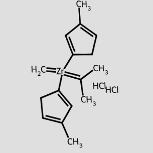 Cl.Cl.[CH2]=[Zr]([C]1=CC(C)=CC1)([C]1=CC(C)=CC1)=[C](C)C